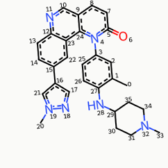 Cc1cc(-n2c(=O)ccc3cnc4ccc(-c5cnn(C)c5)cc4c32)ccc1NC1CCN(C)CC1